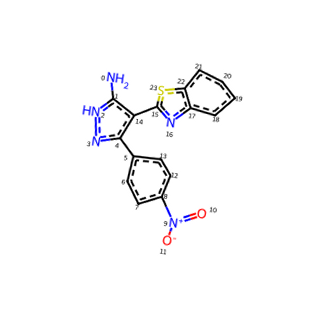 Nc1[nH]nc(-c2ccc([N+](=O)[O-])cc2)c1-c1nc2ccccc2s1